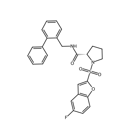 O=C(NCc1ccccc1-c1ccccc1)[C@@H]1CCCN1S(=O)(=O)c1cc2cc(F)ccc2o1